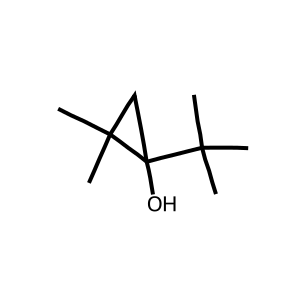 CC(C)(C)C1(O)CC1(C)C